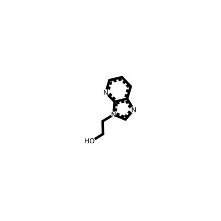 OCCn1cnc2cccnc21